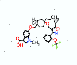 CCCC1(OCc2c(-c3ccccc3OC(F)(F)F)noc2C2CC2)CCC(C)(COc2ccc3c(C(=O)O)cn(C)c3c2)CC1